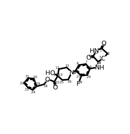 O=C1CC[C@H](Nc2ccc(N3CCC(O)(C(=O)OCc4ccccc4)CC3)c(F)c2)C(=O)N1